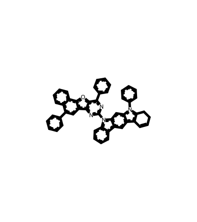 C1=Cc2c(n(-c3ccccc3)c3cc4c(cc23)c2ccccc2n4-c2nc(-c3ccccc3)c3oc4c5ccccc5c(-c5ccccc5)cc4c3n2)CC1